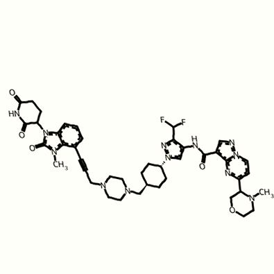 CN1CCOCC1c1ccn2ncc(C(=O)Nc3cn([C@H]4CC[C@H](CN5CCN(CC#Cc6cccc7c6n(C)c(=O)n7C6CCC(=O)NC6=O)CC5)CC4)nc3C(F)F)c2n1